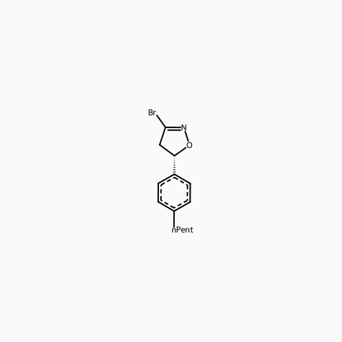 CCCCCc1ccc([C@@H]2CC(Br)=NO2)cc1